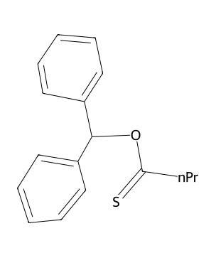 CCCC(=S)OC(c1ccccc1)c1ccccc1